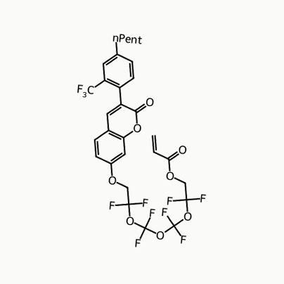 C=CC(=O)OCC(F)(F)OC(F)(F)OC(F)(F)OC(F)(F)COc1ccc2cc(-c3ccc(CCCCC)cc3C(F)(F)F)c(=O)oc2c1